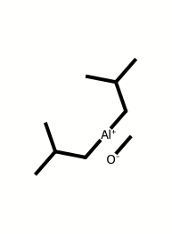 CC(C)[CH2][Al+][CH2]C(C)C.C[O-]